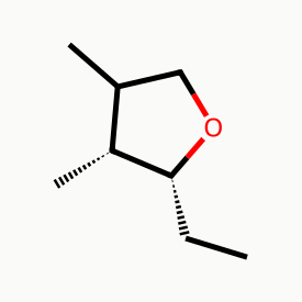 CC[C@H]1OCC(C)[C@H]1C